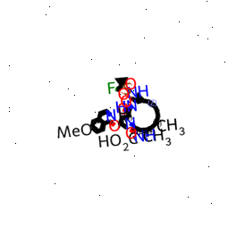 COc1ccc2c(O[C@@H]3C[C@H]4C(=O)NC5(C(=O)NS(=O)(=O)C6(CF)CC6)CC5/C=C\CC[C@H](C)C[C@@H](C)[C@H](NC(=O)O)C(=O)N4C3)nccc2c1